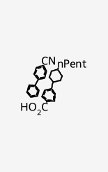 CCCCCC1CCC(c2ccc(C(=O)O)cc2)CC1.N#Cc1ccc(-c2ccccc2)cc1